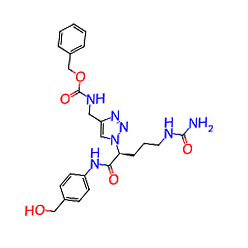 NC(=O)NCCC[C@@H](C(=O)Nc1ccc(CO)cc1)n1cc(CNC(=O)OCc2ccccc2)nn1